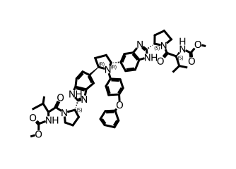 COC(=O)NC(C(=O)N1CCC[C@H]1c1nc2cc([C@H]3CC[C@H](c4ccc5[nH]c([C@@H]6CCCN6C(=O)[C@@H](NC(=O)OC)C(C)C)nc5c4)N3c3ccc(Oc4ccccc4)cc3)ccc2[nH]1)C(C)C